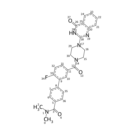 CN(C)C(=O)c1ccc(-c2cc(C(=O)N3CCN(c4nc5ccccc5c(=O)[nH]4)CC3)ccc2F)cc1